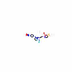 CCOc1cc(S(C)(=O)=O)ccc1NCC#Cc1cc2c(N[C@H]3CC[C@H](N4CC5(COC5)C4)CC3)cccc2n1CC(F)(F)F